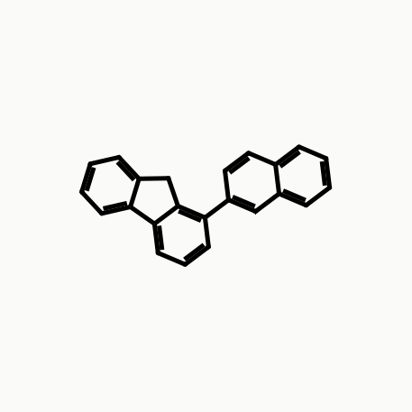 [c]1c(-c2cccc3c2Cc2ccccc2-3)ccc2ccccc12